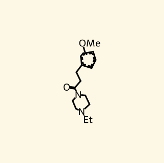 CCN1CCN(C(=O)CCc2cccc(OC)c2)CC1